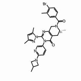 Cc1cc(C)n(-c2nc3c(c(=O)n2-c2ccc(N4CC(C)C4)nc2)C[C@@H](C)N(C(=O)c2ccc(Br)c(C)c2)C3)n1